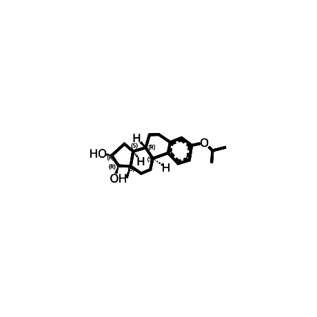 CC(C)Oc1ccc2c(c1)CC[C@@H]1[C@@H]2CC[C@]2(C)[C@@H](O)[C@H](O)C[C@@H]12